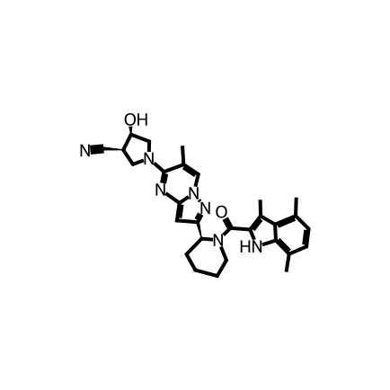 Cc1cn2nc([C@@H]3CCCCN3C(=O)c3[nH]c4c(C)ccc(C)c4c3C)cc2nc1N1C[C@@H](C#N)[C@@H](O)C1